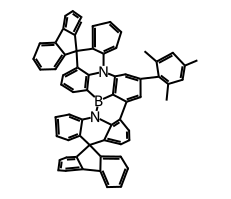 Cc1cc(C)c(-c2cc3c4c(c2)N2c5ccccc5C5(c6ccccc6-c6ccccc65)c5cccc(c52)B4N2c4ccccc4C4(c5ccccc5-c5ccccc54)c4cccc-3c42)c(C)c1